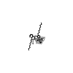 CCCCCCCCCc1ccccc1OC(c1ccccc1CCCCCCCCC)C(CO)(CO)CO.O=P(O)(O)OP(=O)(O)O